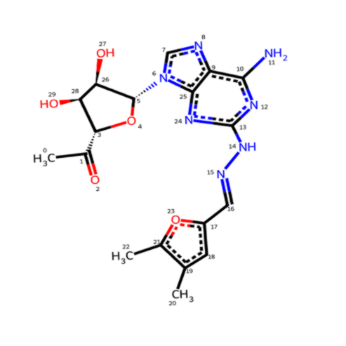 CC(=O)[C@H]1O[C@@H](n2cnc3c(N)nc(N/N=C/c4cc(C)c(C)o4)nc32)[C@H](O)[C@@H]1O